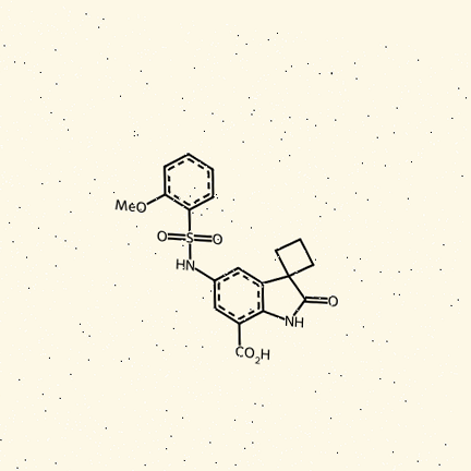 COc1ccccc1S(=O)(=O)Nc1cc(C(=O)O)c2c(c1)C1(CCC1)C(=O)N2